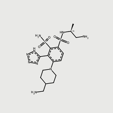 C[C@@H](CN)NS(=O)(=O)c1ccc(N2CCC(CN)CC2)c(-c2nnn[nH]2)c1S(N)(=O)=O